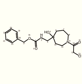 O=C(NCC1(O)CCCN(C(=O)CCl)CC1)OCc1ccccc1